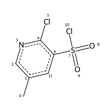 Cc1cnc(Cl)c(S(=O)(=O)Cl)c1